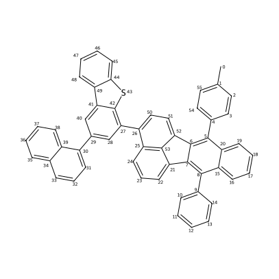 Cc1ccc(-c2c3c(c(-c4ccccc4)c4ccccc24)-c2cccc4c(-c5cc(-c6cccc7ccccc67)cc6c5sc5ccccc56)ccc-3c24)cc1